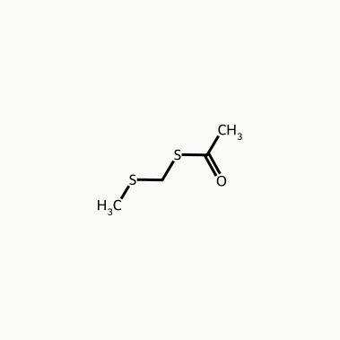 CSCSC(C)=O